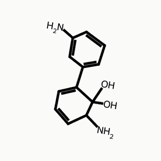 Nc1cccc(C2=CC=CC(N)C2(O)O)c1